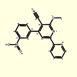 COc1nc(-c2ccccn2)cc(-c2cccc([N+](=O)[O-])c2)c1C#N